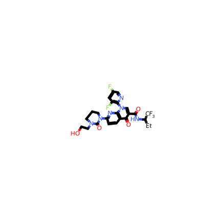 CCC(NC(=O)c1cn(-c2ncc(F)cc2F)c2nc(N3CCCN(CCO)C3=O)ccc2c1=O)C(F)(F)F